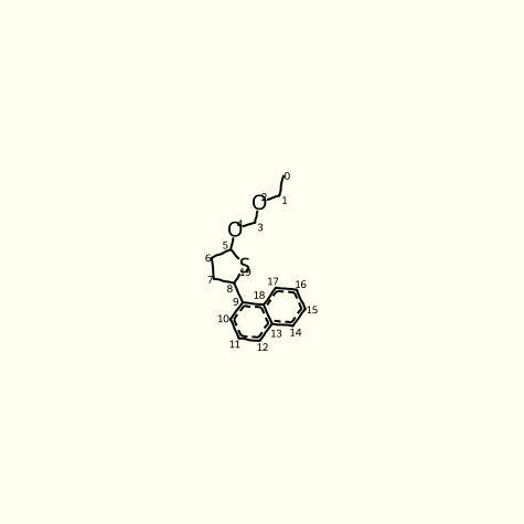 CCOCOC1CCC(c2cccc3ccccc23)S1